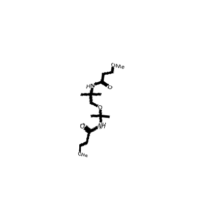 COCCC(=O)NC(C)(C)COC(C)(C)NC(=O)CCOC